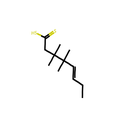 CC/C=C/C(C)(C)C(C)(C)CC(=S)S